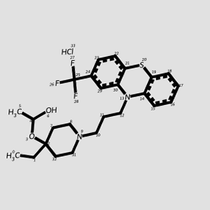 CCC1(OC(C)O)CCN(CCCN2c3ccccc3Sc3ccc(C(F)(F)F)cc32)CC1.Cl